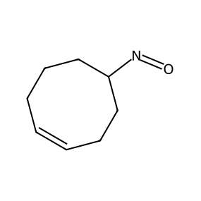 O=NC1CC/C=C\CCC1